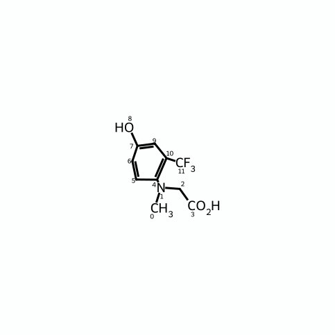 CN(CC(=O)O)c1ccc(O)cc1C(F)(F)F